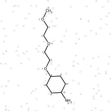 COCCOCCOC1CCC(N)CC1